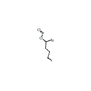 CCCCC(Br)OP=O